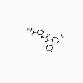 C[C@@H]1CC[C@@H](c2cccc(F)c2)N(C(=O)C(=O)Nc2cncc(C(N)=O)c2)C1